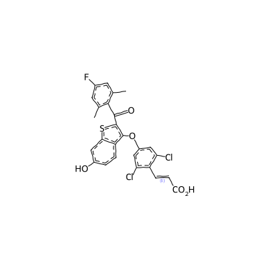 Cc1cc(F)cc(C)c1C(=O)c1sc2cc(O)ccc2c1Oc1cc(Cl)c(/C=C/C(=O)O)c(Cl)c1